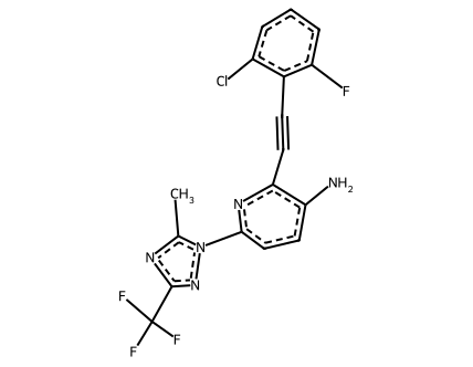 Cc1nc(C(F)(F)F)nn1-c1ccc(N)c(C#Cc2c(F)cccc2Cl)n1